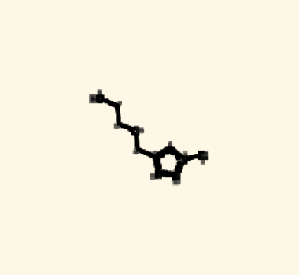 CCn1cc(COCCO)nn1